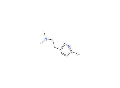 Cc1ccc(CCN(C)C)cn1